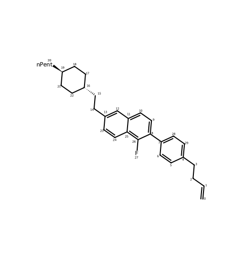 C=CCCc1ccc(-c2ccc3cc(CC[C@H]4CC[C@H](CCCCC)CC4)ccc3c2F)cc1